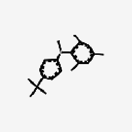 Cc1cc(C)c(N(C)c2ccc(C(C)(C)C)cc2)c(C)c1